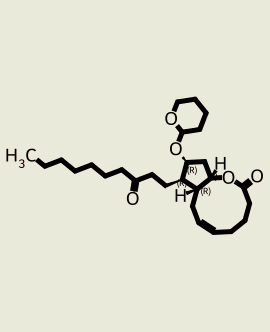 CCCCCCCC(=O)CC[C@@H]1[C@H]2CC=CCCCC(=O)O[C@H]2C[C@H]1OC1CCCCO1